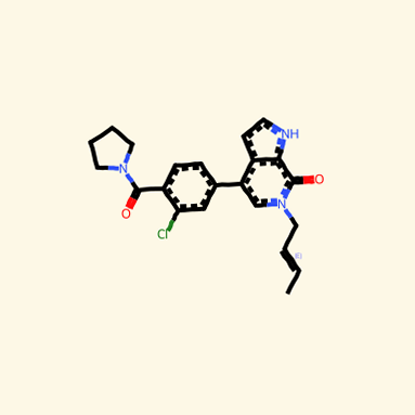 C/C=C/Cn1cc(-c2ccc(C(=O)N3CCCC3)c(Cl)c2)c2cc[nH]c2c1=O